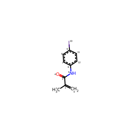 C=C(C)C(=O)Nc1ccc(I)cc1